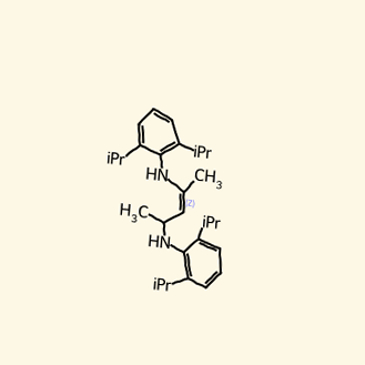 C/C(=C/C(C)Nc1c(C(C)C)cccc1C(C)C)Nc1c(C(C)C)cccc1C(C)C